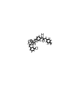 O=C(O)C[C@H](Cc1cccc(Cl)c1)NC(=O)OCc1ccc(NC(=O)Cc2ccc(F)cc2)cc1